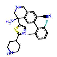 Cc1cccc(F)c1-c1cc2c(cc1C#N)C=NCC2(N)c1cnc(C2CCNCC2)s1